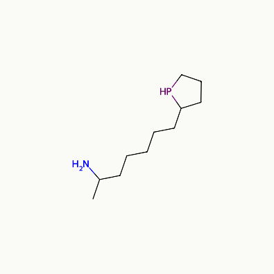 CC(N)CCCCCC1CCCP1